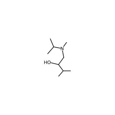 CC(C)C(O)CN(C)C(C)C